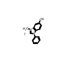 C[n+]1cn(-c2ccccc2)c2ccc(C#N)cc21.[I-]